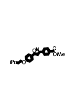 COC(=O)c1ccc(-c2cc(-c3ccc(OCCC(C)C)cc3)on2)cc1